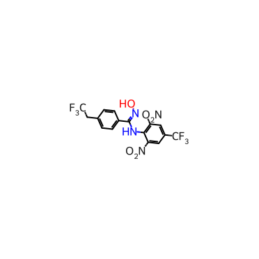 O=[N+]([O-])c1cc(C(F)(F)F)cc([N+](=O)[O-])c1NC(=NO)c1ccc(CC(F)(F)F)cc1